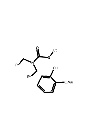 CCSC(=O)N(CC(C)C)CC(C)C.COc1ccccc1O